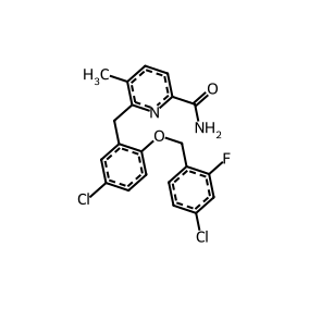 Cc1ccc(C(N)=O)nc1Cc1cc(Cl)ccc1OCc1ccc(Cl)cc1F